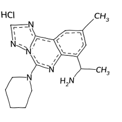 Cc1cc(C(C)N)c2nc(N3CCCCC3)n3ncnc3c2c1.Cl